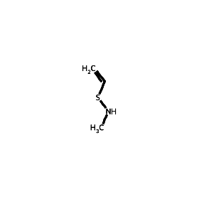 C=CSNC